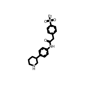 CCS(=O)(=O)c1ccc(CC(=O)Nc2ccc(C3CCCNC3)cc2)cc1